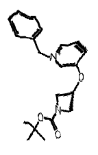 CC(C)(C)OC(=O)N1CC(Oc2ccc[n+](Cc3ccccc3)c2)C1